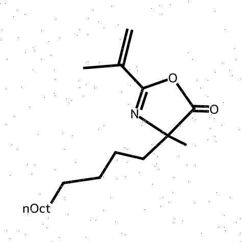 C=C(C)C1=NC(C)(CCCCCCCCCCCC)C(=O)O1